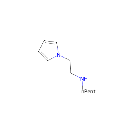 CCCCCNCCn1cccc1